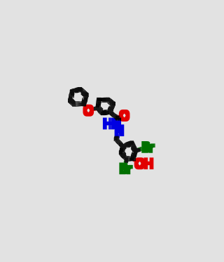 O=C(NN=Cc1cc(Br)c(O)c(Br)c1)c1cccc(Oc2ccccc2)c1